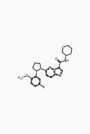 CSc1ccc(F)cc1[C@H]1CCCN1c1ccc2ncc(C(=O)N[C@@H]3CCCOC3)n2n1